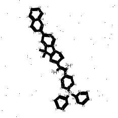 [2H]/C(=C(/[2H])c1ccc2c(c1)C(C)(C)c1cc(-c3ccc4ccccc4c3)ccc1-2)c1ccc(N(c2ccccc2)c2ccccc2)cc1